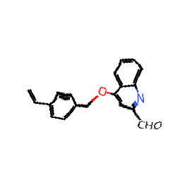 C=Cc1ccc(COc2cc(C=O)nc3ccccc23)cc1